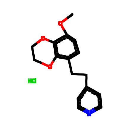 COc1ccc(CCc2ccncc2)c2c1OCCO2.Cl